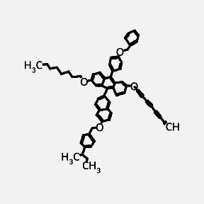 C#CC#CC#CC#COc1ccc2c(-c3ccc4cc(OCc5ccc(C(C)CC)cc5)ccc4c3)c3cc(OCCCCCCCC)ccc3c(-c3ccc(OCc4ccccc4)cc3)c2c1